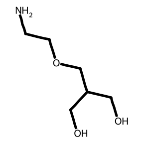 NCCOCC(CO)CO